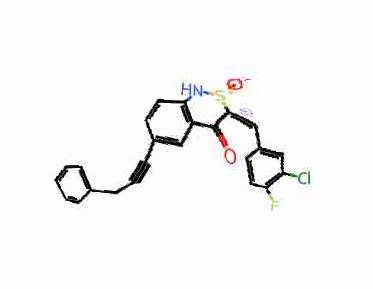 O=C1/C(=C\c2ccc(F)c(Cl)c2)[S+]([O-])Nc2ccc(C#CCc3ccccc3)cc21